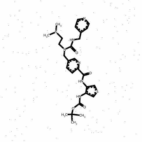 CN(C)CCN(Cc1ccc(C(=O)Nc2cscc2NC(=O)OC(C)(C)C)nc1)C(=O)NCc1ccncc1